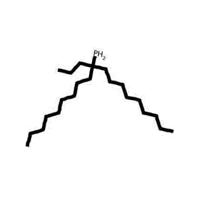 CCCCCCCCCC(P)(CCC)CCCCCCCCC